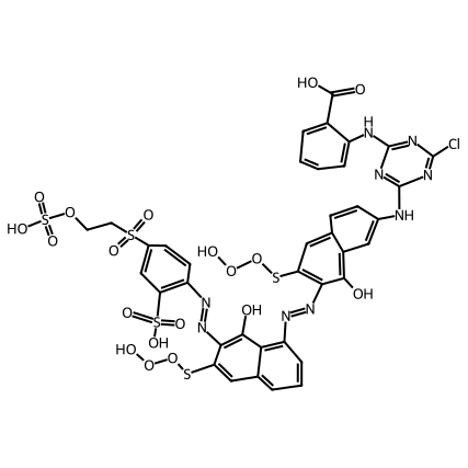 O=C(O)c1ccccc1Nc1nc(Cl)nc(Nc2ccc3cc(SOOO)c(/N=N/c4cccc5cc(SOOO)c(N=Nc6ccc(S(=O)(=O)CCOS(=O)(=O)O)cc6S(=O)(=O)O)c(O)c45)c(O)c3c2)n1